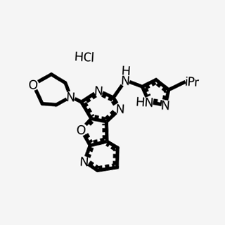 CC(C)c1cc(Nc2nc(N3CCOCC3)c3oc4ncccc4c3n2)[nH]n1.Cl